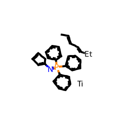 C1=CCC(N=P(c2ccccc2)(c2ccccc2)c2ccccc2)=C1.CC=CC=CCC.[Ti]